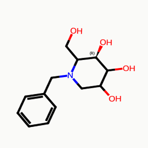 OCC1[C@@H](O)C(O)C(O)CN1Cc1ccccc1